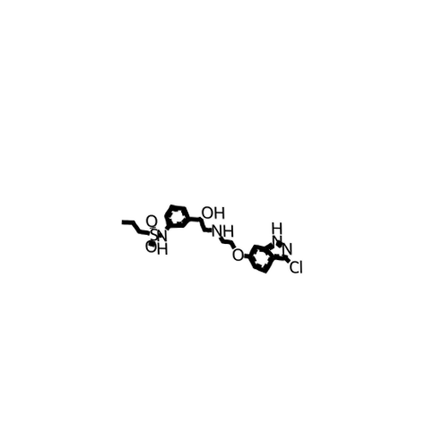 CCCS(=O)(=O)Nc1cccc(C(O)CNCCOc2ccc3c(Cl)n[nH]c3c2)c1